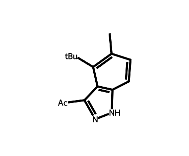 CC(=O)c1n[nH]c2ccc(C)c(C(C)(C)C)c12